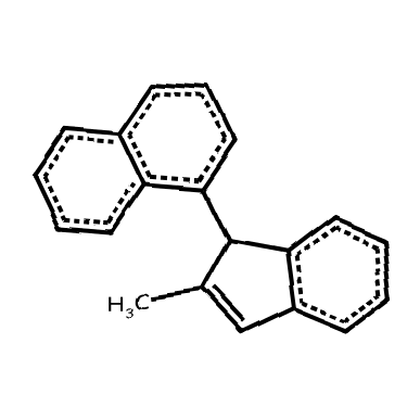 CC1=Cc2ccccc2C1c1cccc2ccccc12